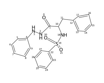 O=C(NNc1ccccc1)C(Cc1ccccc1)NS(=O)(=O)c1ccccc1